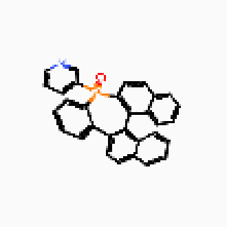 O=P1(c2cccnc2)c2ccccc2-c2ccc3ccccc3c2-c2c1ccc1ccccc21